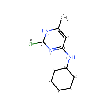 CC1=CC(NC2CCCCC2)=NC(Cl)N1